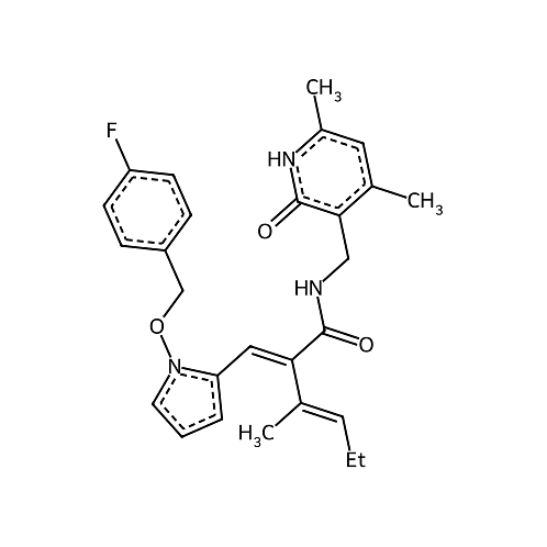 CC/C=C(C)/C(=C\c1cccn1OCc1ccc(F)cc1)C(=O)NCc1c(C)cc(C)[nH]c1=O